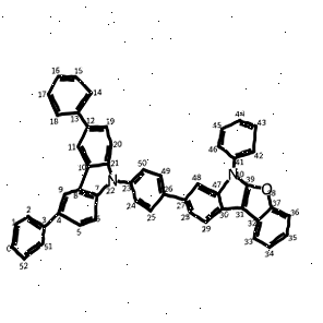 c1ccc(-c2ccc3c(c2)c2cc(-c4ccccc4)ccc2n3-c2ccc(-c3ccc4c5c6ccccc6oc5n(-c5ccccc5)c4c3)cc2)cc1